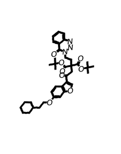 CC(C)(C)OC(=O)C(CCn1nnc2ccccc2c1=O)(CC(=O)c1coc2cc(OCCC3CCCCC3)ccc12)C(=O)OC(C)(C)C